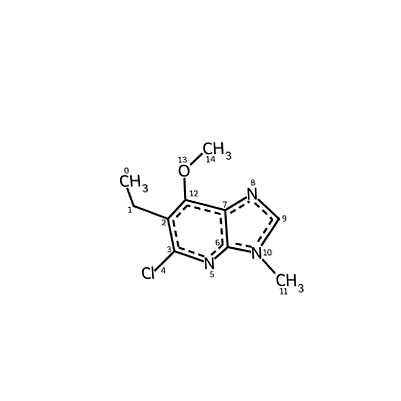 CCc1c(Cl)nc2c(ncn2C)c1OC